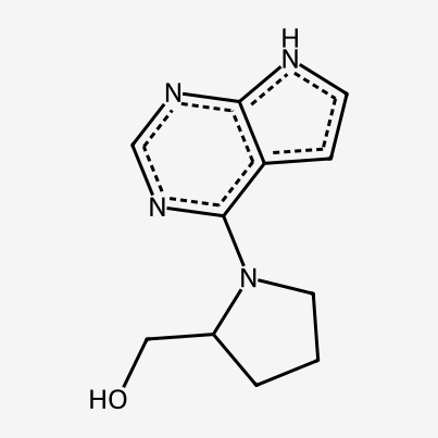 OCC1CCCN1c1ncnc2[nH]ccc12